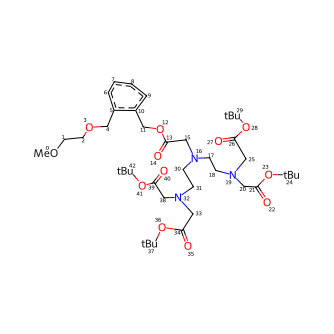 COCCOCc1ccccc1COC(=O)CN(CCN(CC(=O)OC(C)(C)C)CC(=O)OC(C)(C)C)CCN(CC(=O)OC(C)(C)C)CC(=O)OC(C)(C)C